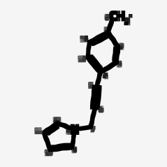 [CH2]c1ccc(C#CCn2cccc2)cc1